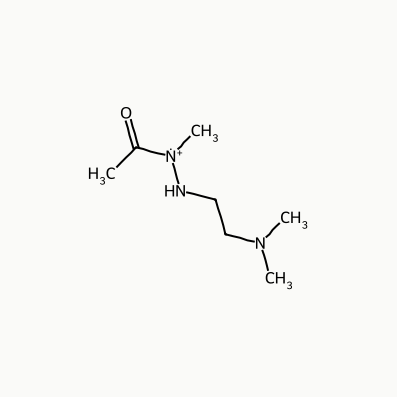 CC(=O)[N+](C)NCCN(C)C